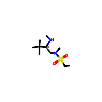 CCS(=O)(=O)N(C)C[C@@H](NC)C(C)(C)C